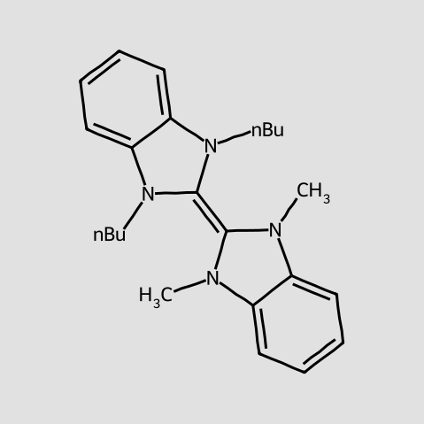 CCCCN1C(=C2N(C)c3ccccc3N2C)N(CCCC)c2ccccc21